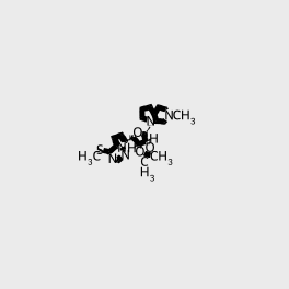 CSc1ncnn2c([C@@H]3O[C@H](CN4CCCC45CCN(C)CC5)[C@H]4OC(C)(C)O[C@H]43)ccc12